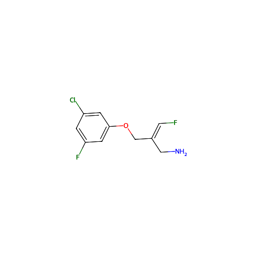 NCC(=CF)COc1cc(F)cc(Cl)c1